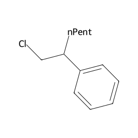 CCCCCC(CCl)c1ccccc1